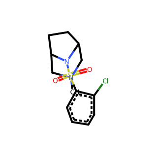 CN1CC2CCC(C1)N2S(=O)(=O)c1ccccc1Cl